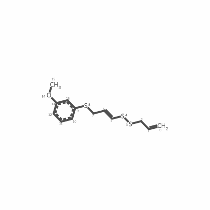 C=CCSS/C=C/CSc1cccc(OC)c1